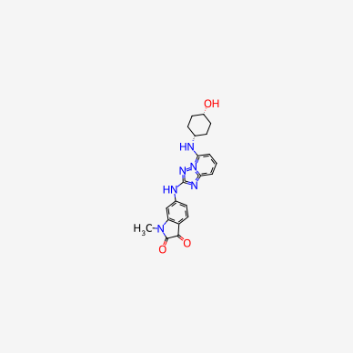 CN1C(=O)C(=O)c2ccc(Nc3nc4cccc(N[C@H]5CC[C@@H](O)CC5)n4n3)cc21